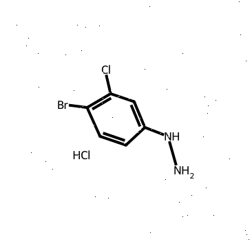 Cl.NNc1ccc(Br)c(Cl)c1